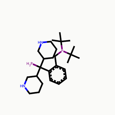 CC(C)(C)P(Cc1ccccc1C(P)(C1CCCNC1)C1CCCNC1)C(C)(C)C